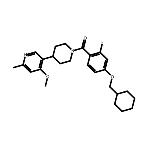 COc1cc(C)ncc1C1CCN(C(=O)c2ccc(OCC3CCCCC3)cc2F)CC1